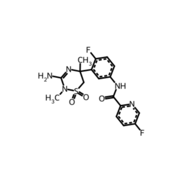 CN1C(N)=NC(C)(c2cc(NC(=O)c3ccc(F)cn3)ccc2F)CS1(=O)=O